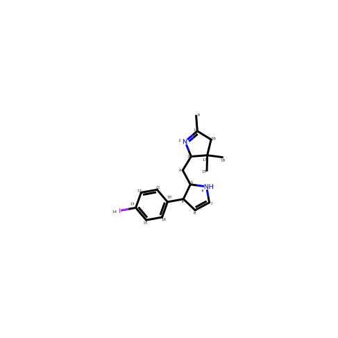 CC1=NC(CC2NC=CC2c2ccc(I)cc2)C(C)(C)C1